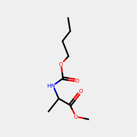 CCCCOC(=O)NC(C)C(=O)OC